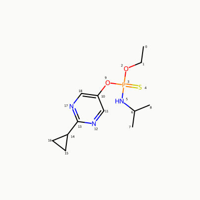 CCOP(=S)(NC(C)C)Oc1cnc(C2CC2)nc1